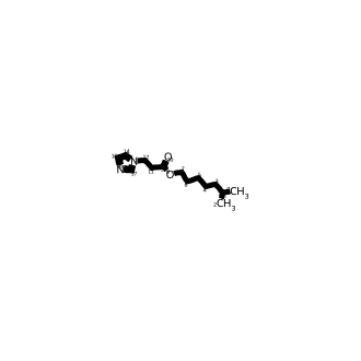 CC(C)CCCCCOC(=O)CCn1ccnc1